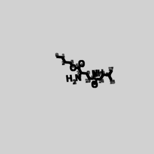 CCCCOC(=O)[C@@H](N)CCS(=N)(=O)CCC(C)C